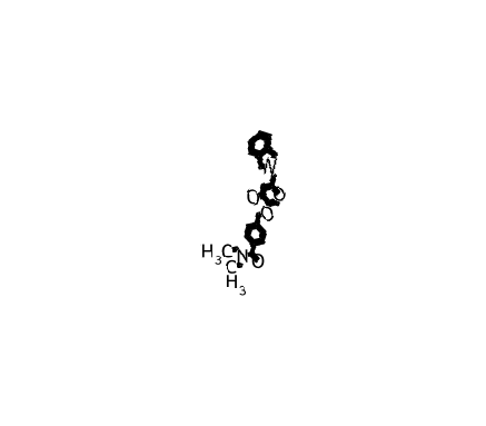 CCN(CC)C(=O)c1ccc(COc2coc(CN3Cc4ccccc4C3)cc2=O)cc1